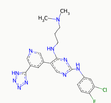 CN(C)CCCNc1nc(Nc2ccc(F)c(Cl)c2)ncc1-c1cncc(-c2nnn[nH]2)c1